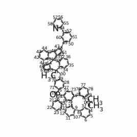 CC1(C)c2ccccc2-c2ccccc2-c2cc(P(=O)(c3ccccc3)c3ccc(CC4(C)c5ccccc5C5(c6ccccc6-c6cc(-c7cccc(-c8ccccn8)c7)ccc65)c5ccccc54)cc3)ccc2-c2ccccc21